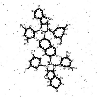 Fc1cc(F)cc(N2B(c3ccc4cc(B5N(c6cc(F)cc(F)c6)c6sc7ccccc7c6N5c5cc(F)cc(F)c5)ccc4c3)N(c3cc(F)cc(F)c3)c3c2oc2ccccc32)c1